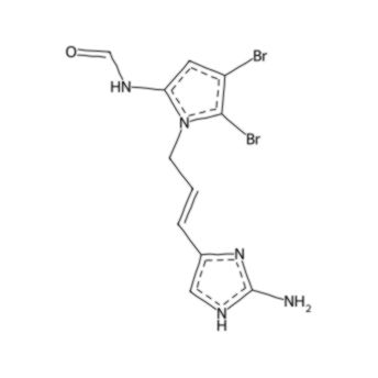 Nc1nc(C=CCn2c(NC=O)cc(Br)c2Br)c[nH]1